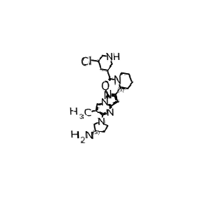 Cc1cn2nc([C@@H]3CCCCN3C(=O)C3CNCC(Cl)C3)cc2nc1N1CC[C@H](N)C1